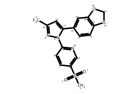 CS(=O)(=O)c1ccc(-n2nc(C(F)(F)F)cc2-c2ccc3c(c2)OCO3)nc1